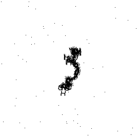 CN(C)c1ccn2ncc(C(=O)Nc3cn(C4CCC(CN5CCN(CC#Cc6cccc7c6n(C)c(=O)n7C6CCC(=O)NC6=O)CC5)CC4)nc3C(F)F)c2n1